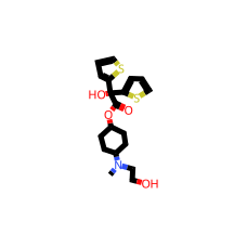 CN(CCO)C1CCC(OC(=O)C(O)(c2cccs2)c2cccs2)CC1